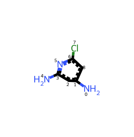 Nc1cc(N)nc(Cl)c1